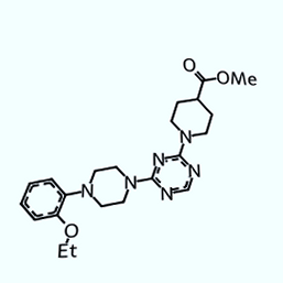 CCOc1ccccc1N1CCN(c2ncnc(N3CCC(C(=O)OC)CC3)n2)CC1